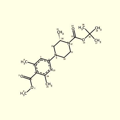 COC(=O)c1c(C)cc(N2CCN(C(=O)OC(C)(C)C)[C@@H](C)C2)nc1C